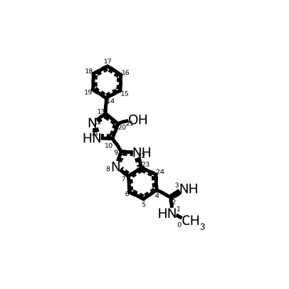 CNC(=N)c1ccc2nc(-c3[nH]nc(-c4ccccc4)c3O)[nH]c2c1